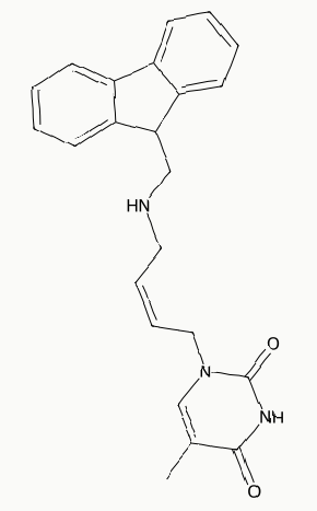 Cc1cn(C/C=C\CNCC2c3ccccc3-c3ccccc32)c(=O)[nH]c1=O